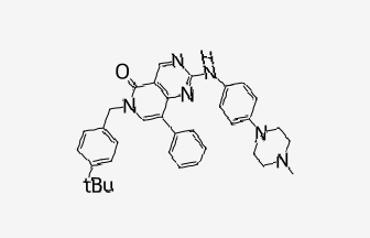 CN1CCN(c2ccc(Nc3ncc4c(=O)n(Cc5ccc(C(C)(C)C)cc5)cc(-c5ccccc5)c4n3)cc2)CC1